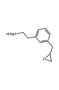 CCCCCCCCCc1cc[c]c(CC2CO2)c1